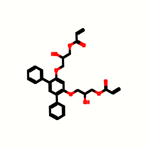 C=CC(=O)OCC(O)COc1cc(OCC(O)COC(=O)C=C)c(-c2ccccc2)cc1-c1ccccc1